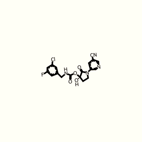 N#Cc1cncc(N2CC[C@@](O)(OC(=O)NCc3cc(F)cc(Cl)c3)C2=O)c1